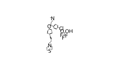 CN(C)CCC(Oc1ccc(C#CCCN2CCSCC2)cc1)c1ccc(Cl)cc1.O=C(O)C(F)(F)F